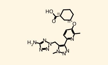 Cc1nc(-c2nnn(C)c2Cn2nnc(N)n2)ccc1O[C@H]1CCC[C@H](C(=O)O)C1